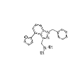 CCN(CC)Cc1nn(Cc2ccccc2)c2cccc(-c3ccco3)c12